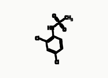 CS(=O)(=O)Nc1ccc(Cl)cc1Cl